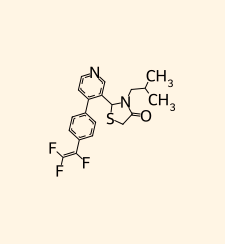 CC(C)CN1C(=O)CSC1c1cnccc1-c1ccc(C(F)=C(F)F)cc1